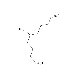 C=CCCCC(CCCC(=O)O)C(=O)O